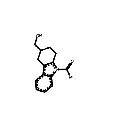 NC(=O)n1c2c(c3ccccc31)C[C](CO)CC2